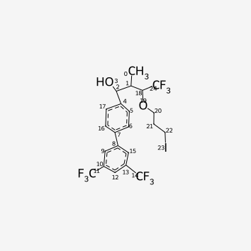 CC(C(O)c1ccc(-c2cc(C(F)(F)F)cc(C(F)(F)F)c2)cc1)C(OCCCI)C(F)(F)F